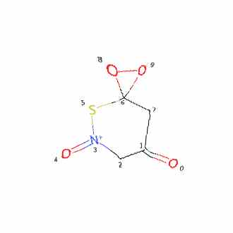 O=C1C[N+](=O)SC2(C1)OO2